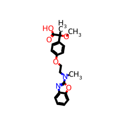 COC(C)(C(=O)O)c1ccc(OCCN(C)c2nc3ccccc3o2)cc1